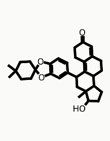 CC1(C)CCC2(CC1)Oc1ccc(C3CC4(C)C(O)CCC4C4CCC5=CC(=O)CCC5=C34)cc1O2